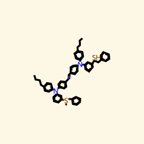 CCCCc1ccc(N(c2ccc(/C=C/c3ccc(N(c4ccc(CCCC)cc4)c4cccc([S+](C)Cc5ccccc5)c4)cc3)cc2)c2cccc(C(S)Cc3ccccc3)c2)cc1